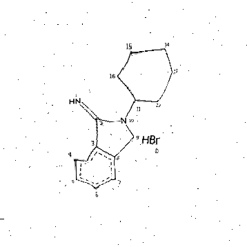 Br.N=C1c2ccccc2CN1C1CCCCC1